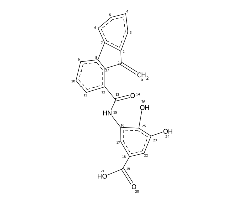 C=C1c2ccccc2-c2cccc(C(=O)Nc3cc(C(=O)O)cc(O)c3O)c21